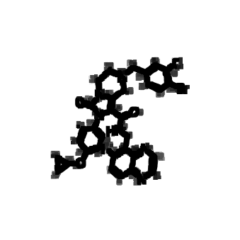 O=C(NCc1c(F)ccc2nccnc12)c1c2n(c(=O)n1-c1ccc(OC3CC3)cc1)CCN(Cc1ccc(Br)c(Cl)c1)C2